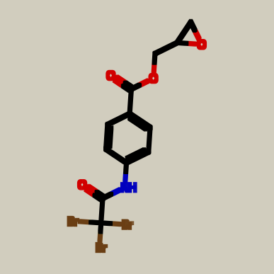 O=C(OCC1CO1)c1ccc(NC(=O)C(Br)(Br)Br)cc1